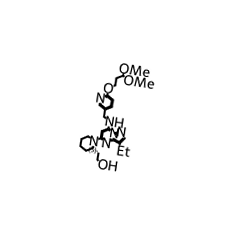 CCc1cnn2c(NCc3ccc(OCCC(OC)OC)nc3)cc(N3CCCC[C@H]3CCO)nc12